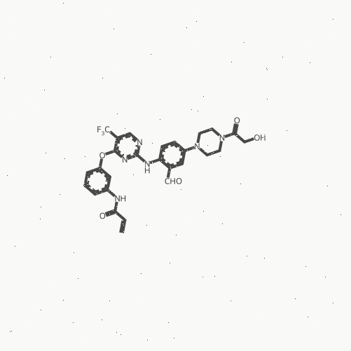 C=CC(=O)Nc1cccc(Oc2nc(Nc3ccc(N4CCN(C(=O)CO)CC4)cc3C=O)ncc2C(F)(F)F)c1